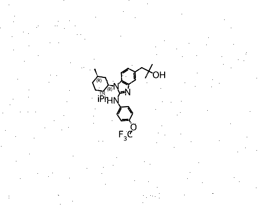 CC(C)[C@@H]1CC[C@@H](C)C[C@H]1n1c(Nc2ccc(OC(F)(F)F)cc2)nc2cc(CC(C)(C)O)ccc21